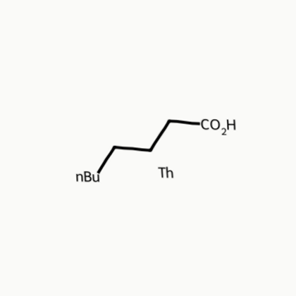 CCCCCCCC(=O)O.[Th]